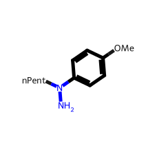 CCCCCN(N)c1ccc(OC)cc1